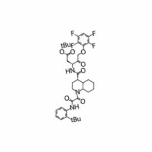 CC(C)(C)OC(=O)C[C@H](NC(=O)[C@@H]1CCN(C(=O)C(=O)Nc2ccccc2C(C)(C)C)C2CCCCC21)C(=O)COc1c(F)c(F)cc(F)c1F